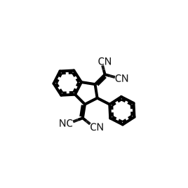 N#CC(C#N)=C1c2ccccc2C(=C(C#N)C#N)C1c1ccccc1